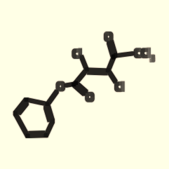 O=C(Oc1ccccc1)C(Cl)=C(Cl)C(=O)C(Cl)(Cl)Cl